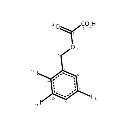 O=C(O)C(=O)OCc1cc(I)cc(I)c1I